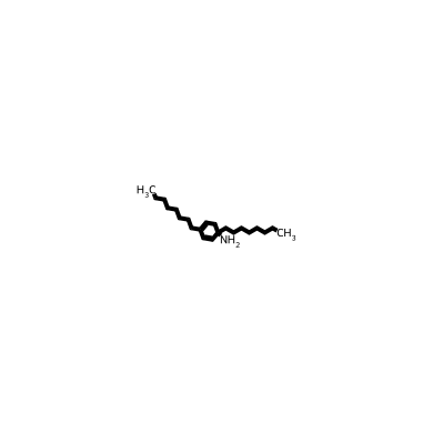 CCCCCCCCC1=CCC(N)(CCCCCCCC)C=C1